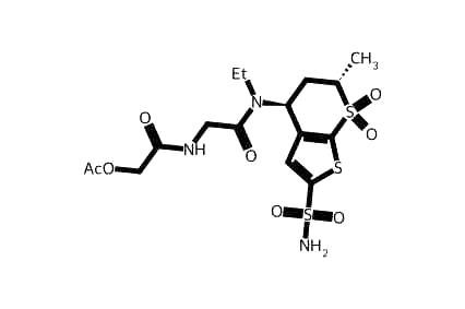 CCN(C(=O)CNC(=O)COC(C)=O)[C@H]1C[C@H](C)S(=O)(=O)c2sc(S(N)(=O)=O)cc21